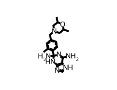 Cc1cc(CN2CC(C)OC(C)C2)ccc1C1(N)N=C(N)c2[nH]cnc2N1